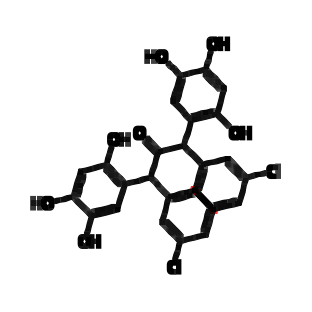 O=C(C(c1cccc(Cl)c1)c1cc(O)c(O)cc1O)C(c1cccc(Cl)c1)c1cc(O)c(O)cc1O